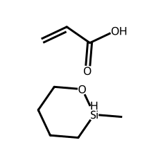 C=CC(=O)O.C[SiH]1CCCCO1